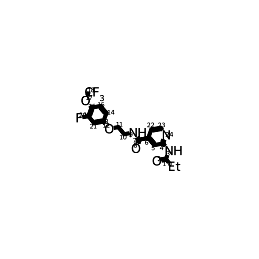 CCC(=O)Nc1cc(C(=O)NCCOc2ccc(OC(F)(F)F)c(F)c2)ccn1